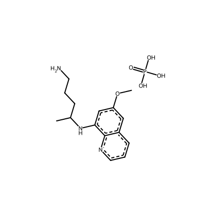 COc1cc(NC(C)CCCN)c2ncccc2c1.O=P(O)(O)O